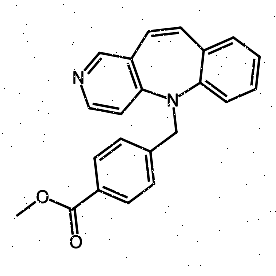 COC(=O)c1ccc(CN2c3ccccc3C=Cc3cnccc32)cc1